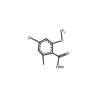 COC(=O)c1c(C)cc(Cl)cc1OC(F)(F)F